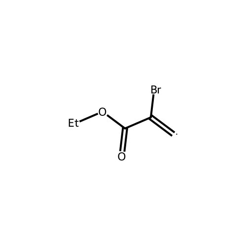 [CH]=C(Br)C(=O)OCC